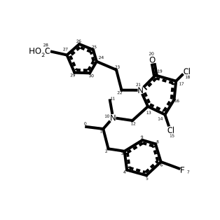 CC(Cc1ccc(F)cc1)N(C)Cc1c(Cl)cc(Cl)c(=O)n1CCc1ccc(C(=O)O)cc1